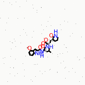 COC(=O)[C@H](CC[C@@H]1CCCNC1=O)NC(=O)[C@H](CC(C)C)NC(=O)c1cc2c(OC)cccc2[nH]1